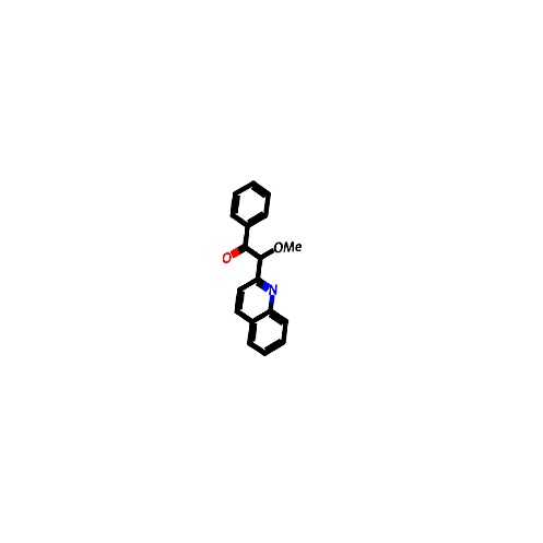 COC(C(=O)c1ccccc1)c1ccc2ccccc2n1